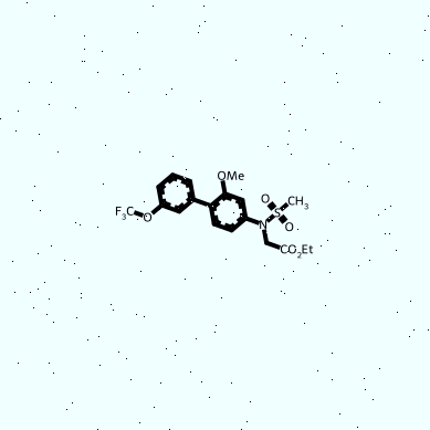 CCOC(=O)CN(c1ccc(-c2cccc(OC(F)(F)F)c2)c(OC)c1)S(C)(=O)=O